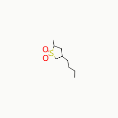 CCCCC1CC(C)S(=O)(=O)C1